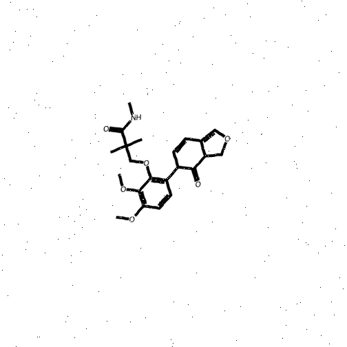 CNC(=O)C(C)(C)COc1c(C2C=CC3=COCC3C2=O)ccc(OC)c1OC